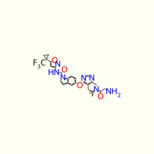 C[C@H]1Cc2c(ncnc2Oc2ccc3c(ccn3C(=O)Nc3cc(C4(C(F)(F)F)CC4)on3)c2)CN1C(=O)CN